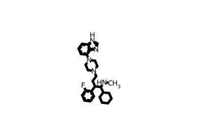 CNC(C1CCCCC1)C(CCN1CCN(c2cccc3[nH]cnc23)CC1)c1ccccc1F